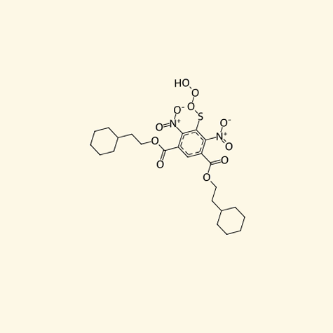 O=C(OCCC1CCCCC1)c1cc(C(=O)OCCC2CCCCC2)c([N+](=O)[O-])c(SOOO)c1[N+](=O)[O-]